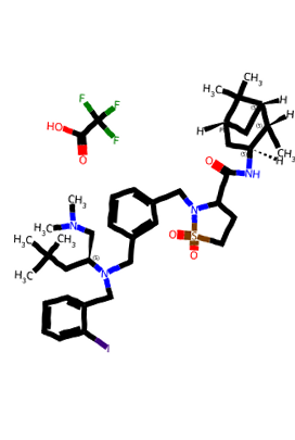 C[C@@H]1[C@@H](NC(=O)C2CCS(=O)(=O)N2Cc2cccc(CN(Cc3ccccc3I)[C@H](CN(C)C)CC(C)(C)C)c2)C[C@H]2C[C@@H]1C2(C)C.O=C(O)C(F)(F)F